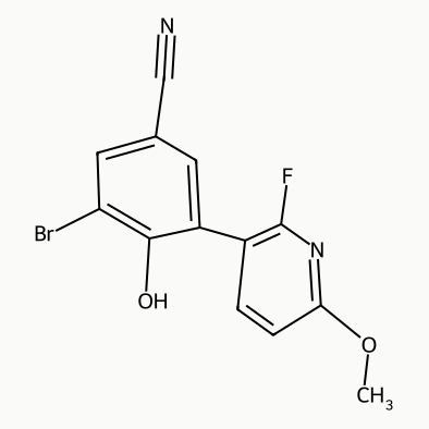 COc1ccc(-c2cc(C#N)cc(Br)c2O)c(F)n1